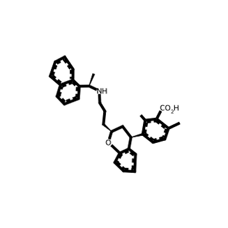 Cc1ccc([C@@H]2C[C@H](CCCN[C@H](C)c3cccc4ccccc34)Oc3ccccc32)c(C)c1C(=O)O